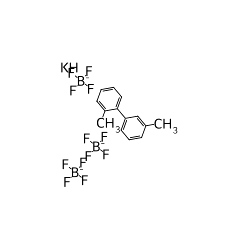 Cc1cccc(-c2ccccc2C)c1.F[B-](F)(F)F.F[B-](F)(F)F.F[B-](F)(F)F.[KH]